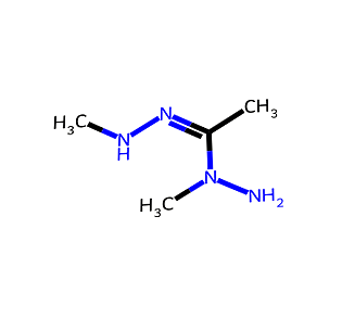 CN/N=C(/C)N(C)N